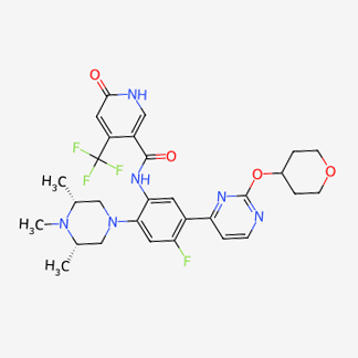 C[C@@H]1CN(c2cc(F)c(-c3ccnc(OC4CCOCC4)n3)cc2NC(=O)c2c[nH]c(=O)cc2C(F)(F)F)C[C@H](C)N1C